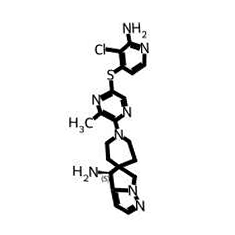 Cc1nc(Sc2ccnc(N)c2Cl)cnc1N1CCC2(CC1)Cn1nccc1[C@H]2N